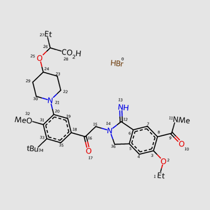 Br.CCOc1cc2c(cc1C(=O)NC)C(=N)N(CC(=O)c1cc(N3CCC(OC(CC)C(=O)O)CC3)c(OC)c(C(C)(C)C)c1)C2